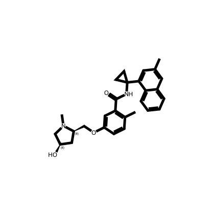 Cc1cc(C2(NC(=O)c3cc(OC[C@H]4C[C@@H](O)CN4C)ccc3C)CC2)c2ccccc2c1